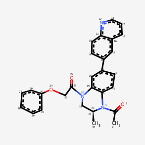 CC(=O)N1c2ccc(-c3ccc4ncccc4c3)cc2N(C(=O)COc2ccccc2)C[C@@H]1C